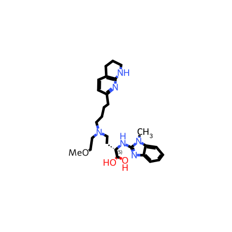 COCCN(CCCCc1ccc2c(n1)NCCC2)CC[C@H](Nc1nc2ccccc2n1C)C(O)O